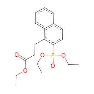 CCOC(=O)CCc1c(P(=O)(OCC)OCC)ccc2ccccc12